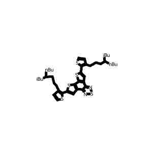 CCCCC(CCCc1ccsc1-c1cc2c3nsnc3c3cc(-c4sccc4CCCC(CCCC)C(C)CC)sc3c2s1)C(C)CC